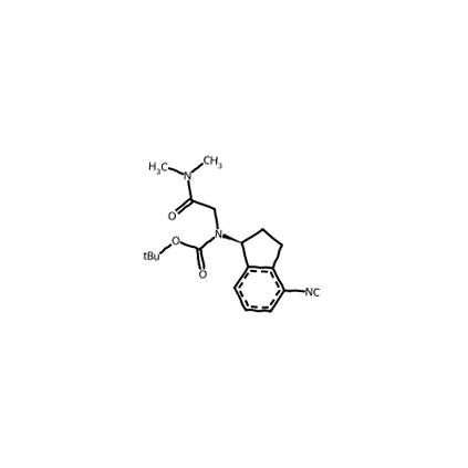 [C-]#[N+]c1cccc2c1CC[C@@H]2N(CC(=O)N(C)C)C(=O)OC(C)(C)C